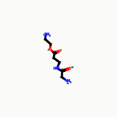 NCCOC(=O)CCNC(=O)CN